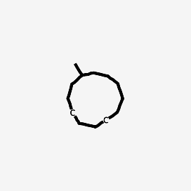 C[C]1CCCCCCCCCCC1